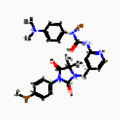 CN(C)c1ccc(N(S)C(=O)Nc2cc(CN3C(=O)N(c4ccc(SC(F)(F)F)cc4)C(=O)C3(C)C)ccn2)cc1